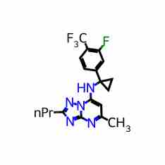 CCCc1nc2nc(C)cc(NC3(c4ccc(C(F)(F)F)c(F)c4)CC3)n2n1